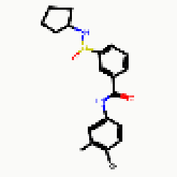 Cc1cc(NC(=O)c2cccc([S+]([O-])NC3CCCC3)c2)ccc1C#N